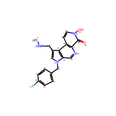 CCCNCc1cn(Cc2ccc(F)cc2)c2cnc3c(=O)n(O)ccc3c12